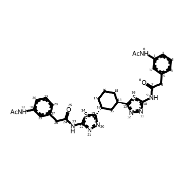 CC(=O)Nc1cccc(CC(=O)Nc2nnc([C@@H]3CCC[C@@H](c4nnc(NC(=O)Cc5cccc(NC(C)=O)c5)s4)C3)s2)c1